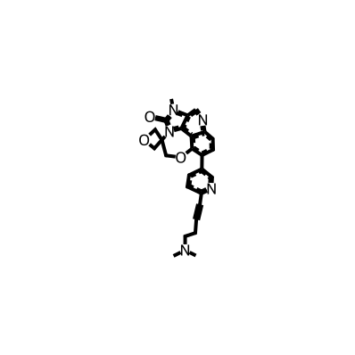 CN(C)CCC#Cc1ccc(-c2ccc3ncc4c5c3c2OCC2(COC2)n5c(=O)n4C)cn1